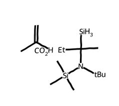 C=C(C)C(=O)O.CCC(C)([SiH3])N(C(C)(C)C)[Si](C)(C)C